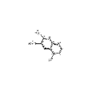 COc1cc2c(Cl)ccnc2cc1C